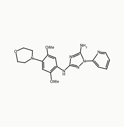 COc1cc(N2CCOCC2)c(OC)cc1Nc1nc(N)n(-c2ccccn2)n1